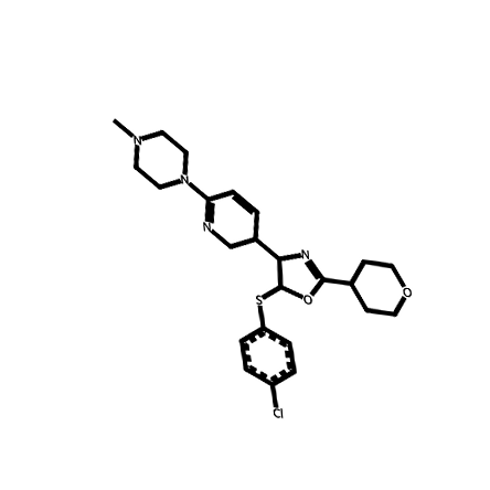 CN1CCN(C2=NCC(C3N=C(C4CCOCC4)OC3Sc3ccc(Cl)cc3)C=C2)CC1